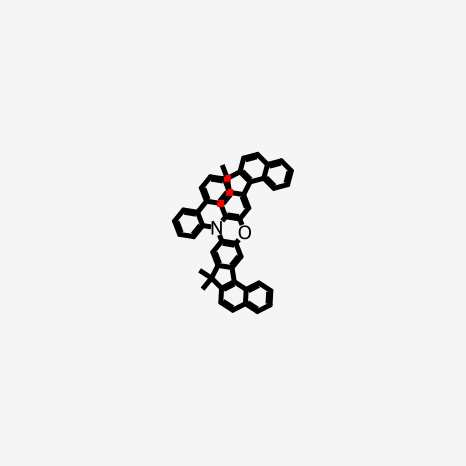 CC1(C)c2cc3c(cc2-c2c1ccc1ccccc21)Oc1cc2c(cc1N3c1ccccc1-c1ccccc1)C(C)(C)c1ccc3ccccc3c1-2